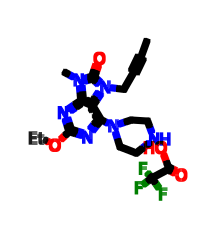 CC#CCn1c(=O)n(C)c2nc(OCC)nc(N3CCNCC3)c21.O=C(O)C(F)(F)F